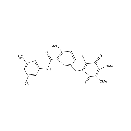 COC1=C(OC)C(=O)C(Cc2ccc(OC(C)=O)c(C(=O)Nc3cc(C(F)(F)F)cc(C(F)(F)F)c3)c2)=C(C)C1=O